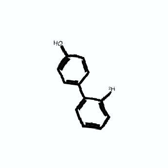 [2H]c1ccccc1-c1ccc(O)cc1